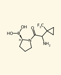 NC(C(=O)N1CCC[C@H]1B(O)O)C1(C(F)(F)F)CC1